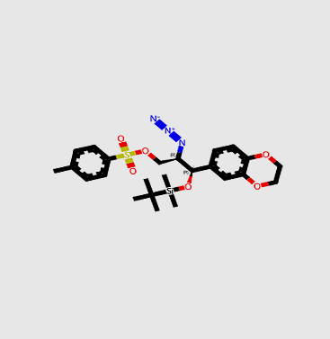 Cc1ccc(S(=O)(=O)OC[C@@H](N=[N+]=[N-])[C@H](O[Si](C)(C)C(C)(C)C)c2ccc3c(c2)OCCO3)cc1